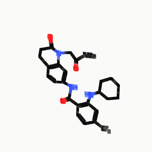 CNC(=O)CN1C(=O)CCc2ccc(NC(=O)c3ccc(C(F)(F)F)cc3NC3CCCCC3)cc21